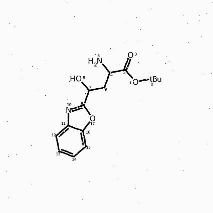 CC(C)(C)OC(=O)C(N)CC(O)c1nc2ccccc2o1